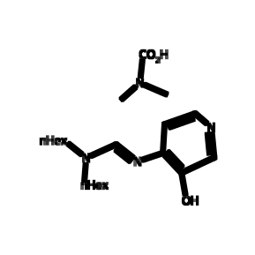 CCCCCCN(C=Nc1ccncc1O)CCCCCC.CN(C)C(=O)O